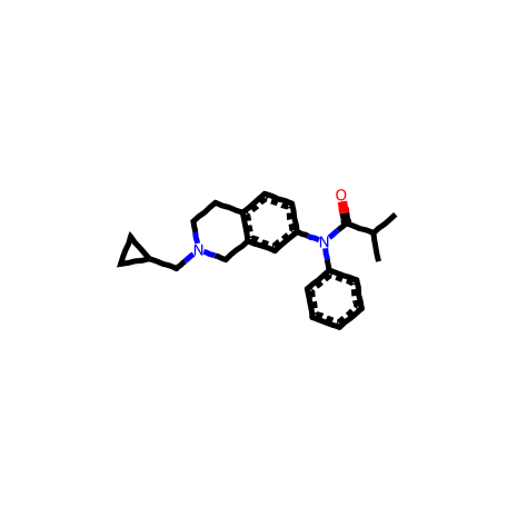 CC(C)C(=O)N(c1ccccc1)c1ccc2c(c1)CN(CC1CC1)CC2